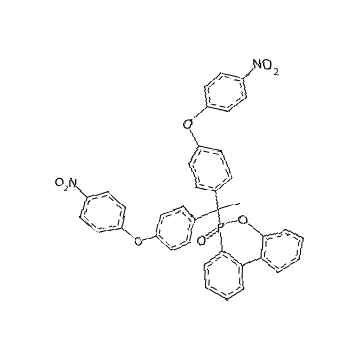 CC(c1ccc(Oc2ccc([N+](=O)[O-])cc2)cc1)(c1ccc(Oc2ccc([N+](=O)[O-])cc2)cc1)P1(=O)Oc2ccccc2-c2ccccc21